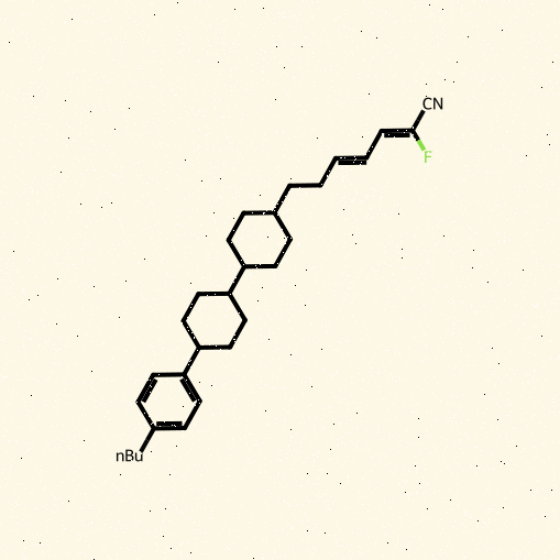 CCCCc1ccc(C2CCC(C3CCC(CCC=CC=C(F)C#N)CC3)CC2)cc1